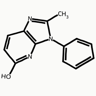 Cc1nc2ccc(O)nc2n1-c1ccccc1